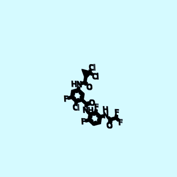 O=C(Nc1c(F)ccc(NC(=O)C(F)F)c1F)c1cc(NC(=O)C2CC2(Cl)Cl)cc(F)c1Cl